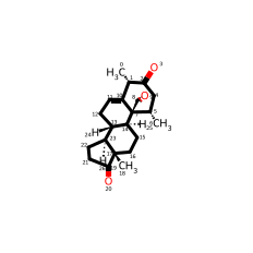 C[C@@H]1C(=O)C[C@H](C)[C@@]2(C=O)C1=CC[C@@H]1[C@@H]2CC[C@]2(C)C(=O)CC[C@@H]12